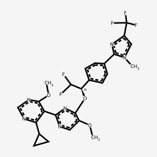 COc1cnc(-c2c(OC)ncnc2C2CC2)nc1O[C@H](c1ccc(-c2nc(C(F)(F)F)cn2C)cc1)C(F)F